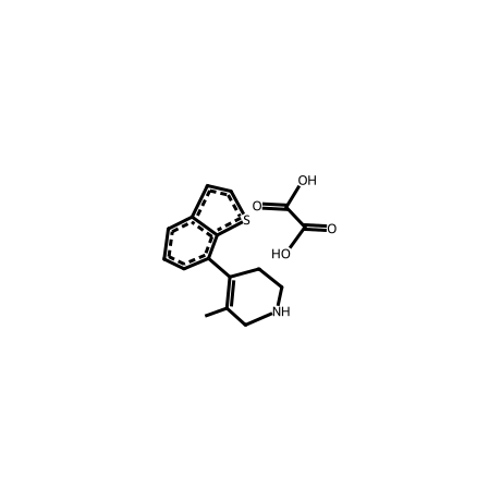 CC1=C(c2cccc3ccsc23)CCNC1.O=C(O)C(=O)O